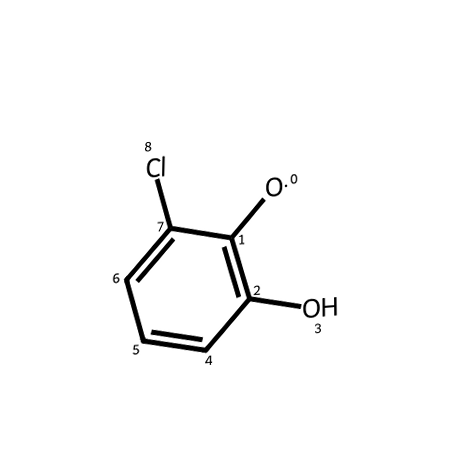 [O]c1c(O)cccc1Cl